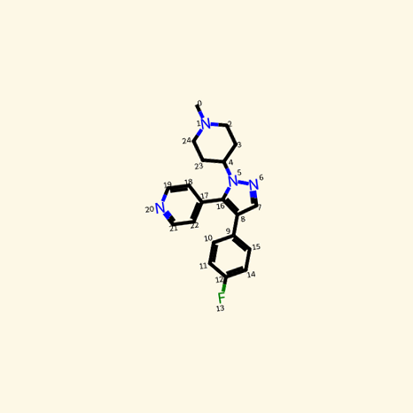 CN1CCC(n2ncc(-c3ccc(F)cc3)c2-c2ccncc2)CC1